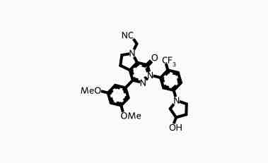 COc1cc(OC)cc(-c2nn(-c3cc(N4CCC(O)C4)ccc3C(F)(F)F)c(=O)c3c2CCN3CC#N)c1